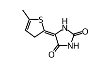 CC1=CCC(=C2NC(=O)NC2=O)S1